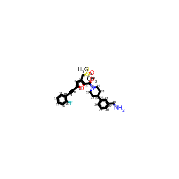 C[SH](C)(=O)Cc1cc(C#Cc2ccccc2F)oc1C(=O)N1CCC(c2cccc(CN)c2)CC1